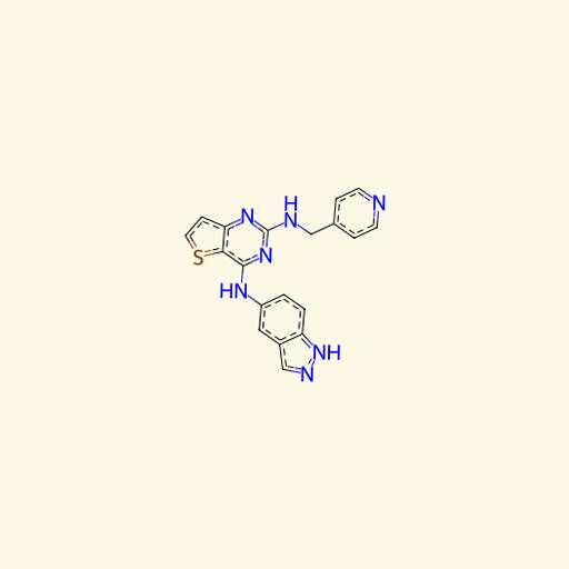 c1cc(CNc2nc(Nc3ccc4[nH]ncc4c3)c3sccc3n2)ccn1